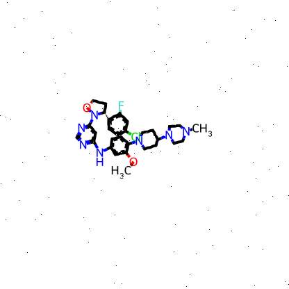 COc1cc(Nc2cc(N3OCC[C@@H]3c3ccc(Cl)cc3F)ncn2)ccc1N1CCC(N2CCN(C)CC2)CC1